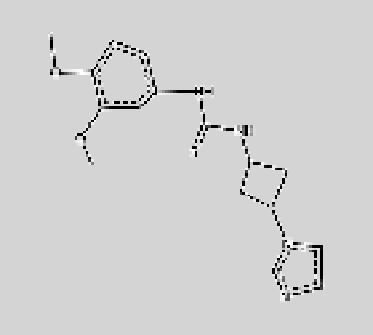 COc1ccc(NC(=S)NC2CC(n3ccnc3)C2)cc1OC